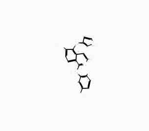 Cc1ccc2c(Nc3cc(Cl)ccc3F)nccc2c1Nc1ccsc1